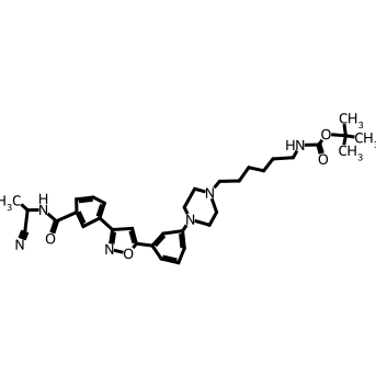 CC(C#N)NC(=O)c1cccc(-c2cc(-c3cccc(N4CCN(CCCCCCNC(=O)OC(C)(C)C)CC4)c3)on2)c1